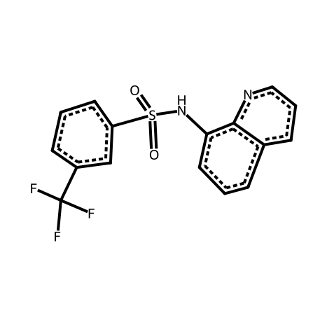 O=S(=O)(Nc1cccc2cccnc12)c1cccc(C(F)(F)F)c1